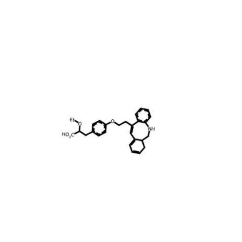 CCOC(Cc1ccc(OCCC2=CC3=CC=CCC3CNc3ccccc32)cc1)C(=O)O